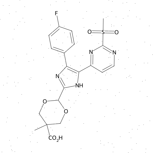 CC1(C(=O)O)COC(c2nc(-c3ccc(F)cc3)c(-c3ccnc(S(C)(=O)=O)n3)[nH]2)OC1